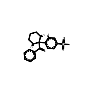 CS(=O)(=O)c1ccc(C2(C(=O)c3ccccc3)C(=O)CCCC2=O)c(Cl)c1